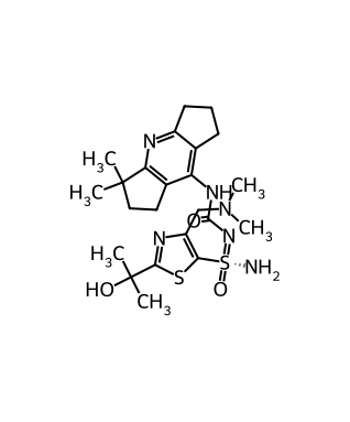 CN(C)Cc1nc(C(C)(C)O)sc1[S@](N)(=O)=NC(=O)Nc1c2c(nc3c1CCC3(C)C)CCC2